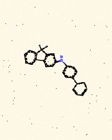 CC1(C)c2ccccc2-c2ccc(Nc3ccc(C4C=CC=CC4)cc3)cc21